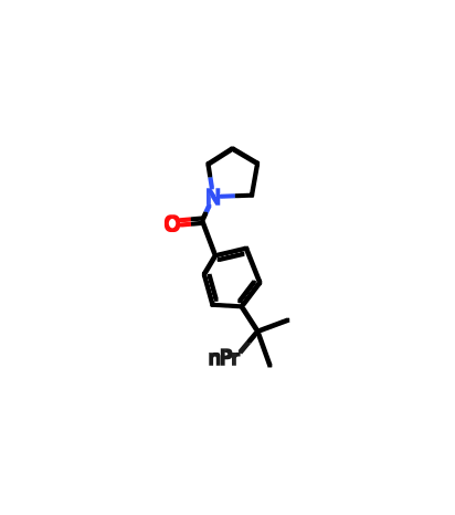 CCCC(C)(C)c1ccc(C(=O)N2CCCC2)cc1